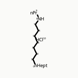 CCCCCCCCCCCCCCNCCC.Cl